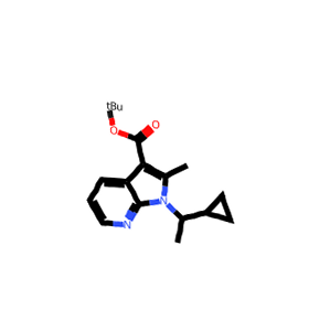 Cc1c(C(=O)OC(C)(C)C)c2cccnc2n1C(C)C1CC1